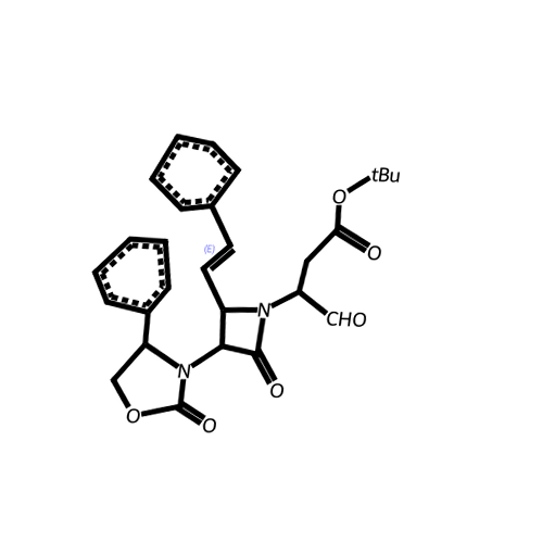 CC(C)(C)OC(=O)CC(C=O)N1C(=O)C(N2C(=O)OCC2c2ccccc2)C1/C=C/c1ccccc1